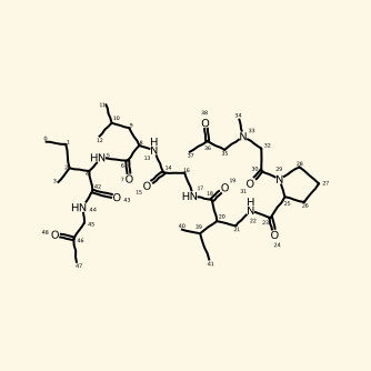 CCC(C)C(NC(=O)C(CC(C)C)NC(=O)CNC(=O)C(CNC(=O)C1CCCN1C(=O)CN(C)CC(C)=O)C(C)C)C(=O)NCC(C)=O